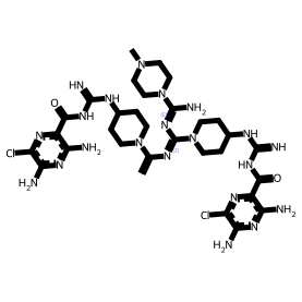 C=C(/N=C(\N=C(/N)N1CCN(C)CC1)N1CCC(NC(=N)NC(=O)c2nc(Cl)c(N)nc2N)CC1)N1CCC(NC(=N)NC(=O)c2nc(Cl)c(N)nc2N)CC1